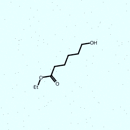 C[CH]OC(=O)CCCCCO